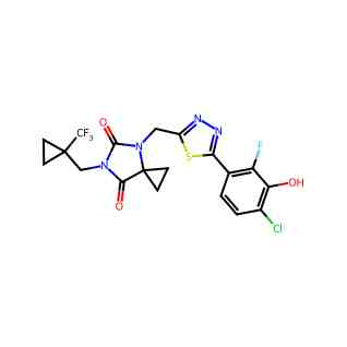 O=C1N(CC2(C(F)(F)F)CC2)C(=O)C2(CC2)N1Cc1nnc(-c2ccc(Cl)c(O)c2F)s1